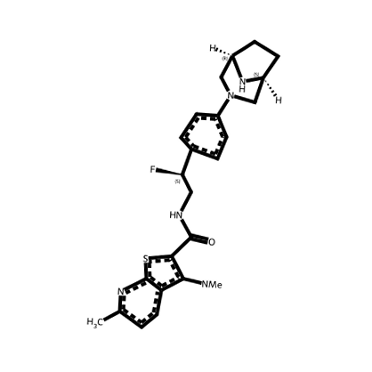 CNc1c(C(=O)NC[C@@H](F)c2ccc(N3C[C@H]4CC[C@@H](C3)N4)cc2)sc2nc(C)ccc12